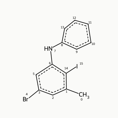 Cc1cc(Br)cc(Nc2ccccc2)c1I